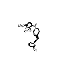 COc1ccc(C(=O)N2CCC(=CC#Cc3cccc(C)n3)CC2)c(OC)n1